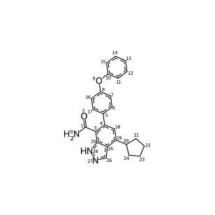 NC(=O)c1c(-c2ccc(Oc3ccccc3)cc2)cc(C2CCCC2)c2cn[nH]c12